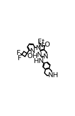 CCn1c(=O)c2cnc(Nc3ccc4c(c3)CCNC4)nc2n1-c1cccc(C2(O)CC(F)(F)C2)n1